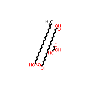 CCCCCCCCCCCCCCCCCCCCCC(=O)O.O=C(O)CCCCCCCCCCCCCCCCCCC(=O)O.OCC(O)CO